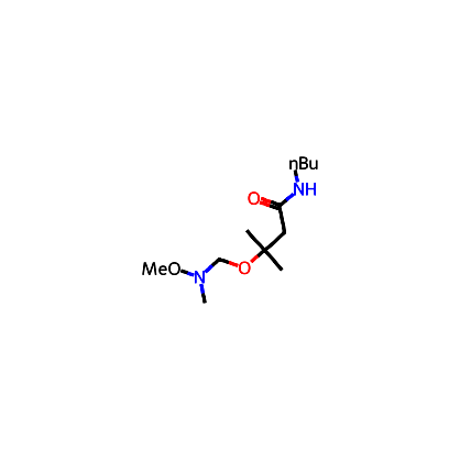 CCCCNC(=O)CC(C)(C)OCN(C)OC